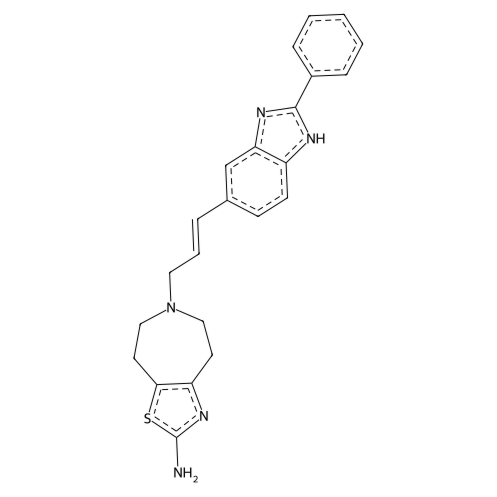 Nc1nc2c(s1)CCN(CC=Cc1ccc3[nH]c(-c4ccccc4)nc3c1)CC2